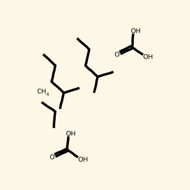 C.CCC.CCCC(C)C.CCCC(C)C.O=C(O)O.O=C(O)O